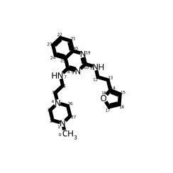 CN1CCN(CCNc2nc(NCCc3ccco3)nc3ccccc23)CC1